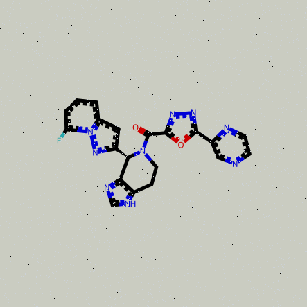 O=C(c1nnc(-c2cnccn2)o1)N1CCc2[nH]cnc2[C@H]1c1cc2cccc(F)n2n1